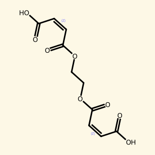 O=C(O)/C=C\C(=O)OCCOC(=O)/C=C\C(=O)O